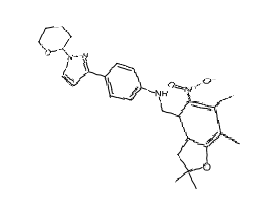 CC1=C2OC(C)(C)CC2C(CNc2ccc(-c3ccn(C4CCCCO4)n3)cc2)C([N+](=O)[O-])=C1C